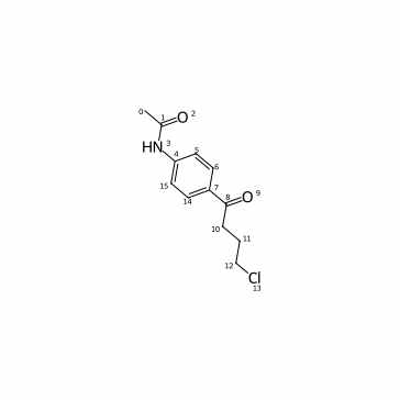 CC(=O)Nc1ccc(C(=O)CCCCl)cc1